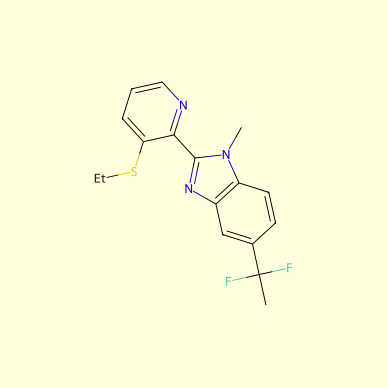 CCSc1cccnc1-c1nc2cc(C(C)(F)F)ccc2n1C